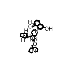 CCc1cccc2cc(O)cc(N3CCc4c(nc(OCC56CCCN5CCC6)nc4N4C[C@H]5CC[C@@H](C4)N5)C3)c12